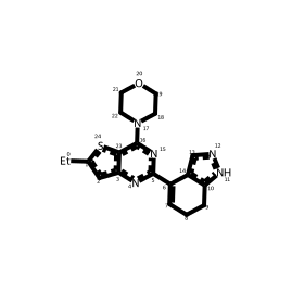 CCc1cc2nc(C3=CCCc4[nH]ncc43)nc(N3CCOCC3)c2s1